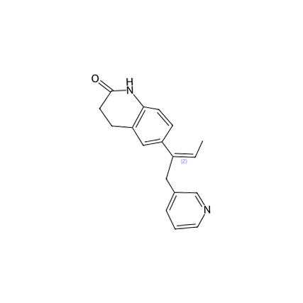 C/C=C(/Cc1cccnc1)c1ccc2c(c1)CCC(=O)N2